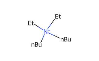 CCCC[N+](CC)(CC)CCCC